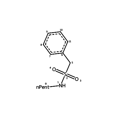 CCCCCNS(=O)(=O)Cc1ccccc1